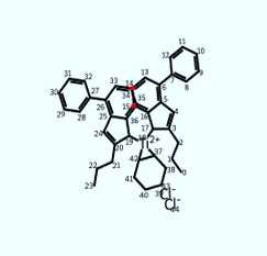 CCCC1=Cc2c(-c3ccccc3)cccc2[CH]1[Ti+2]1([CH]2C(CCC)=Cc3c(-c4ccccc4)cccc32)[CH]2CCCC[CH]21.[Cl-].[Cl-]